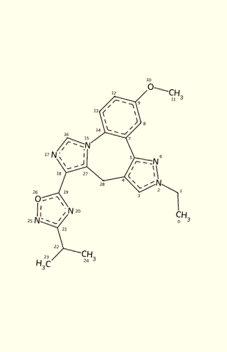 CCn1cc2c(n1)-c1cc(OC)ccc1-n1cnc(-c3nc(C(C)C)no3)c1C2